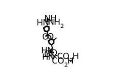 Cc1cc(CNS(=O)(=O)NC(CC(=O)O)C(=O)O)ccc1OC(=O)c1ccc(NC(=N)N)cc1